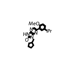 COc1ccc(C(C)C)cc1-c1cnc2[nH]c(=O)n(CC3CCCC3)c2n1